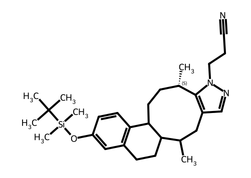 CC1Cc2cnn(CCC#N)c2[C@@H](C)CCC2c3ccc(O[Si](C)(C)C(C)(C)C)cc3CCC12